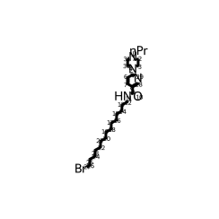 CCCN1CCN(c2ccc(C(=O)NCCCCCCCCCCCCCCCBr)cn2)CC1